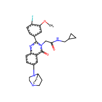 COc1cc(-c2nc3ccc(N4CCN5CCC4CC5)cc3c(=O)n2CC(=O)NCC2CC2)ccc1F